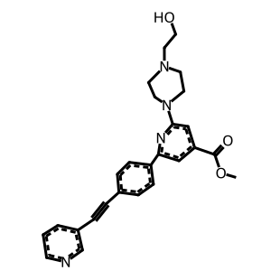 COC(=O)c1cc(-c2ccc(C#Cc3cccnc3)cc2)nc(N2CCN(CCO)CC2)c1